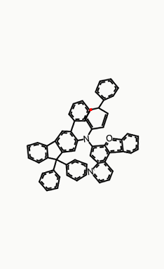 C1=CC(c2ccccc2)CC=C1N(c1cc2c(cc1-c1ccccc1)-c1ccccc1C2(c1ccccc1)c1ccccc1)c1cc2ncccc2c2c1oc1ccccc12